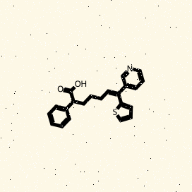 O=C(O)C(CCCC=C(c1cccnc1)c1cccs1)c1ccccc1